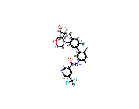 Cc1ccc(NC(=O)c2cncc(C(F)(F)F)c2)cc1-c1cc2c(cc1F)C[C@@](F)(CO)[C@@H]1COCCN21